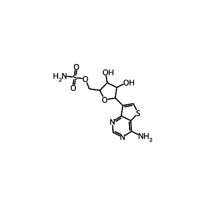 Nc1ncnc2c(C3OC(COS(N)(=O)=O)C(O)C3O)csc12